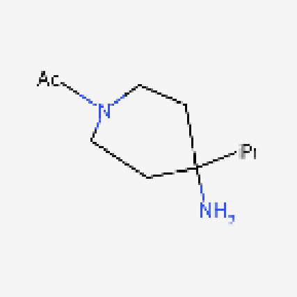 CC(=O)N1CCC(N)(C(C)C)CC1